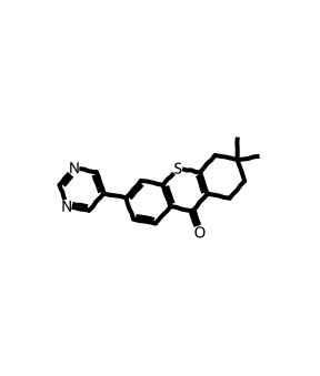 CC1(C)CCc2c(sc3cc(-c4cncnc4)ccc3c2=O)C1